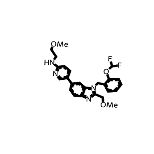 COCCNc1ccc(-c2ccc3nc(COC)n(Cc4ccccc4OC(F)F)c3c2)cn1